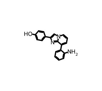 Nc1ccccc1-c1cccn2cc(-c3ccc(O)cc3)nc12